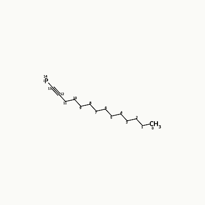 CCCCCCCCCCCCC#C[P]